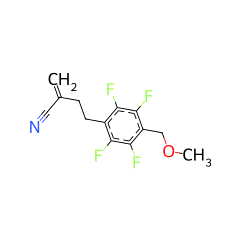 C=C(C#N)CCc1c(F)c(F)c(COC)c(F)c1F